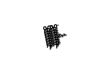 O=C([O-])C(F)(F)C(F)(F)C(F)(F)C(F)(F)C(F)(F)C(F)(F)C(F)(F)F.O=C([O-])C(F)(F)C(F)(F)C(F)(F)C(F)(F)C(F)(F)C(F)(F)C(F)(F)F.[Zn+2]